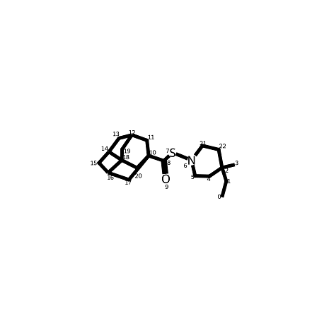 CCC1(C)CCN(SC(=O)C23CC4CC5CC(C2)C5(C4)C3)CC1